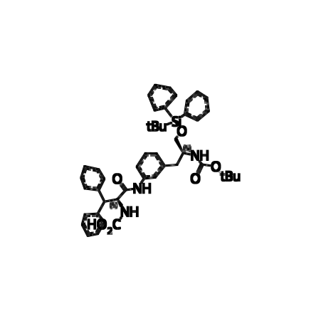 CC(C)(C)OC(=O)N[C@H](CO[Si](c1ccccc1)(c1ccccc1)C(C)(C)C)Cc1cccc(NC(=O)[C@@H](NC(=O)O)C(c2ccccc2)c2ccccc2)c1